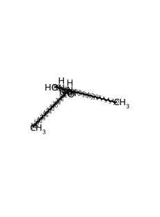 CCCCCCCCCCCCCCCCCCCCCC(=O)NC(CCNCCO)NC(=O)CCCCCCCCCCCCCCCCCCCCC